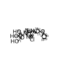 OC[C@H]1O[C@@H](n2cnc3c(NN4CCC(Oc5ccccc5)CC4)nc(Cl)nc32)[C@H](O)[C@@H]1O